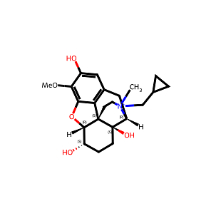 COc1c(O)cc2c3c1O[C@H]1[C@@H](O)CC[C@@]4(O)[C@@H](C2)[N+](C)(CC2CC2)CC[C@]314